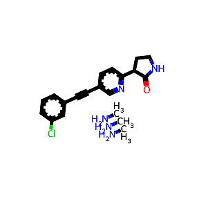 CN.CN.CN.O=C1NCCC1c1ccc(C#Cc2cccc(Cl)c2)cn1